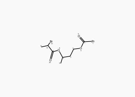 CC(CCOC(=O)C(C)C)OC(=O)C(C)Br